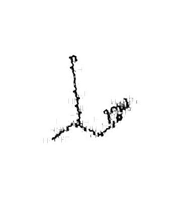 CC[C@H](C)[C@@H]([C@@H](CC(=O)N1CCC[C@H]1[C@H](OC)[C@@H](C)C(=O)N[C@@H](Cc1ccccc1)C(=O)NCCCOC(=O)C(C)NC(=O)CCNC(=O)OCC(NC(=O)CNC(=O)CNC(=O)CNC(=O)CNC(=O)CCOCCOCCNC(=O)CCN1C(=O)C=CC1=O)C(=O)N[C@@H](CCC(=O)NC[C@H](O)[C@@H](O)[C@H](O)[C@H](O)CO)C(=O)O)OC)N(C)C(=O)C(NC(=O)[C@H](C(C)C)N(C)C)C(C)C